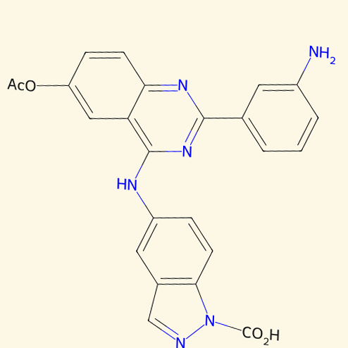 CC(=O)Oc1ccc2nc(-c3cccc(N)c3)nc(Nc3ccc4c(cnn4C(=O)O)c3)c2c1